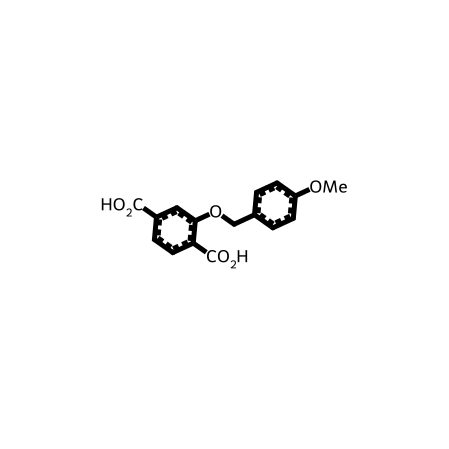 COc1ccc(COc2cc(C(=O)O)ccc2C(=O)O)cc1